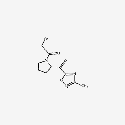 Cc1noc(C(=O)[C@@H]2CCCN2C(=O)CBr)n1